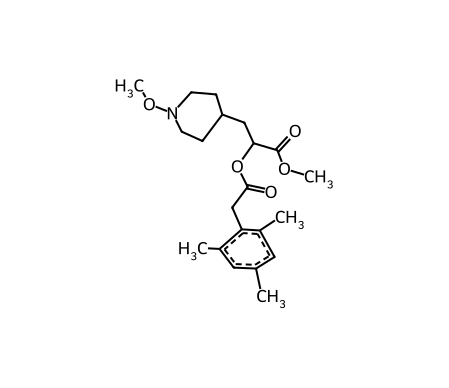 COC(=O)C(CC1CCN(OC)CC1)OC(=O)Cc1c(C)cc(C)cc1C